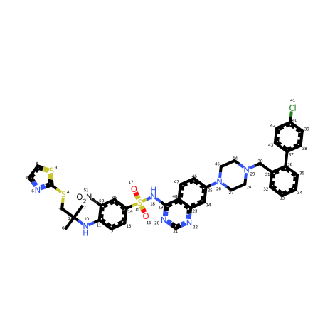 CC(C)(CSc1nccs1)Nc1ccc(S(=O)(=O)Nc2ncnc3cc(N4CCN(Cc5ccccc5-c5ccc(Cl)cc5)CC4)ccc23)cc1[N+](=O)[O-]